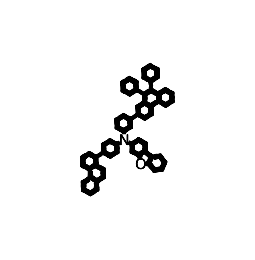 c1ccc(-c2c(-c3ccccc3)c3cc(-c4cccc(N(c5ccc(-c6cccc7c6ccc6ccccc67)cc5)c5ccc6c(c5)oc5ccccc56)c4)ccc3c3ccccc23)cc1